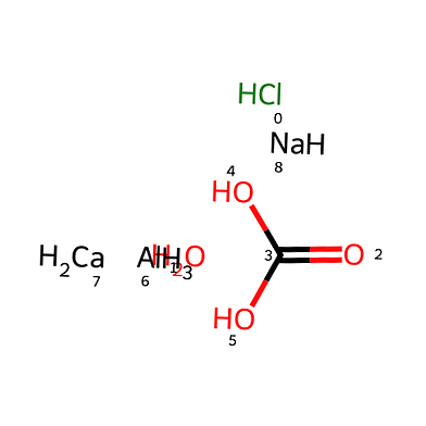 Cl.O.O=C(O)O.[AlH3].[CaH2].[NaH]